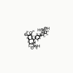 CNC(=O)N1N=C(c2ccc(N3CC4(CCS4(O)O)C3)cc2)c2cc(OC)c(OC)cc2C[C@@H]1C